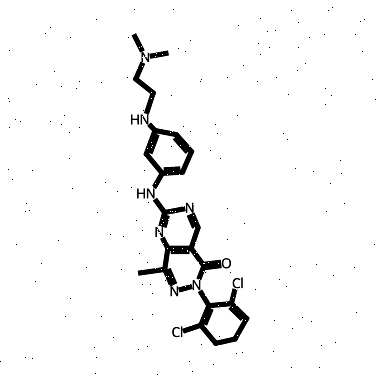 Cc1nn(C2=C(Cl)CCC=C2Cl)c(=O)c2cnc(Nc3cccc(NCCN(C)C)c3)nc12